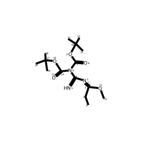 CC/C(=N\C(=N)N(C(=O)OC(C)(C)C)C(=O)OC(C)(C)C)OC